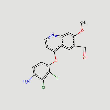 COc1cc2nccc(Oc3ccc(N)c(Cl)c3F)c2cc1C=O